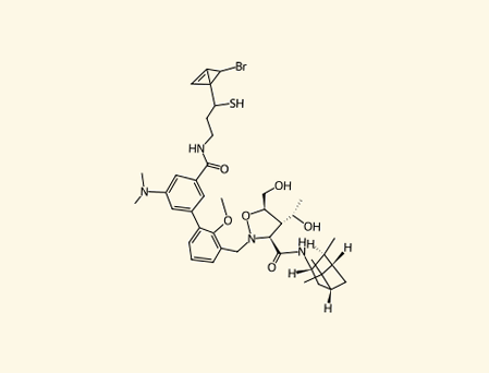 COc1c(CN2O[C@@H](CO)[C@H]([C@H](C)O)[C@H]2C(=O)N[C@H]2C[C@H]3C[C@@H]([C@@H]2C)C3(C)C)cccc1-c1cc(C(=O)NCCC(S)C23C=C2C3Br)cc(N(C)C)c1